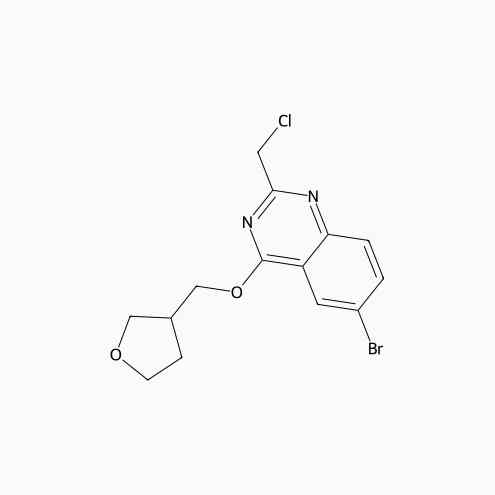 ClCc1nc(OCC2CCOC2)c2cc(Br)ccc2n1